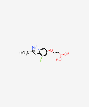 N[C@H](Cc1ccc(OCCB(O)O)cc1F)C(=O)O